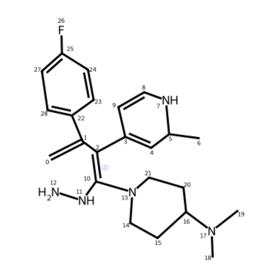 C=C(/C(C1=CC(C)NC=C1)=C(\NN)N1CCC(N(C)C)CC1)c1ccc(F)cc1